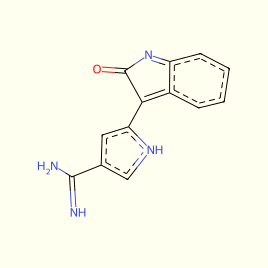 N=C(N)c1c[nH]c(C2=c3ccccc3=NC2=O)c1